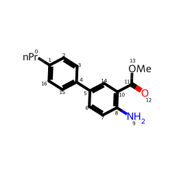 CCCc1ccc(-c2ccc(N)c(C(=O)OC)c2)cc1